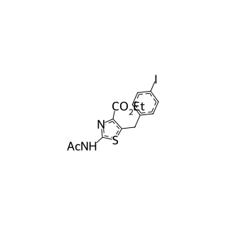 CCOC(=O)c1nc(NC(C)=O)sc1Cc1ccc(I)cc1